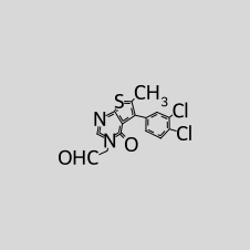 Cc1sc2ncn(CC=O)c(=O)c2c1-c1ccc(Cl)c(Cl)c1